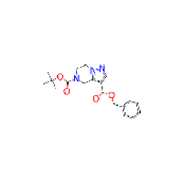 CC(C)(C)OC(=O)N1CCn2ncc(C(=O)OCc3ccccc3)c2C1